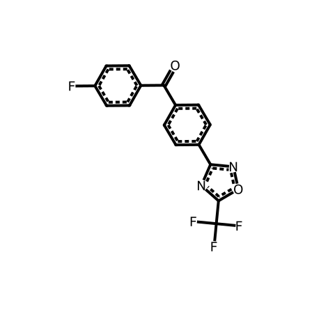 O=C(c1ccc(F)cc1)c1ccc(-c2noc(C(F)(F)F)n2)cc1